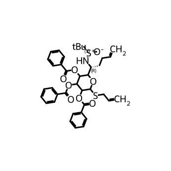 C=CCC[C@@H](N[S@+]([O-])C(C)(C)C)C1OC(SCC=C)C(OC(=O)c2ccccc2)C(OC(=O)c2ccccc2)C1OC(=O)c1ccccc1